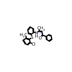 C/C(=C/C(=O)c1ccccc1)Nc1ccccc1Sc1c(C)cccc1Cl